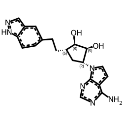 Nc1ncnc2c1ccn2[C@@H]1C[C@H](CCc2ccc3[nH]ncc3c2)[C@@H](O)[C@H]1O